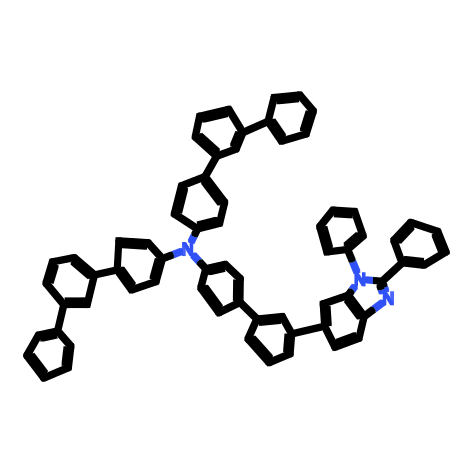 c1ccc(-c2cccc(-c3ccc(N(c4ccc(-c5cccc(-c6ccccc6)c5)cc4)c4ccc(-c5cccc(-c6ccc7nc(-c8ccccc8)n(-c8ccccc8)c7c6)c5)cc4)cc3)c2)cc1